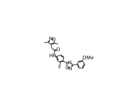 COc1cccc(-c2noc(-c3ccc(NC(=O)Cc4c(C)noc4C)cc3F)n2)c1